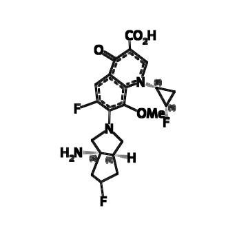 COc1c(N2C[C@H]3CC(F)C[C@@]3(N)C2)c(F)cc2c(=O)c(C(=O)O)cn([C@@H]3C[C@@H]3F)c12